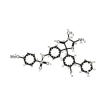 COc1ccc(S(=O)(=O)Oc2ccc(C3(c4ccc(F)c(-c5cncnc5)c4)N=C(N)N(C)C3=O)cc2)cc1